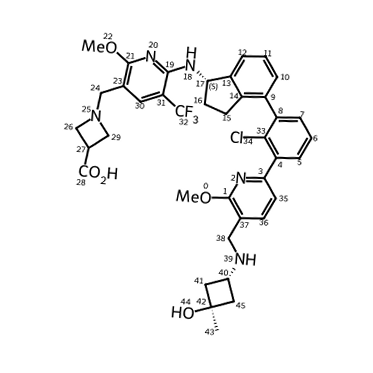 COc1nc(-c2cccc(-c3cccc4c3CC[C@@H]4Nc3nc(OC)c(CN4CC(C(=O)O)C4)cc3C(F)(F)F)c2Cl)ccc1CN[C@H]1C[C@](C)(O)C1